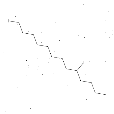 CCCCC(I)CCCCCCCCI